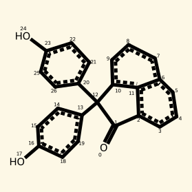 O=C1c2cccc3cccc(c23)C1(c1ccc(O)cc1)c1ccc(O)cc1